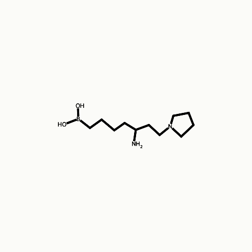 NC(CCCCB(O)O)CCN1CCCC1